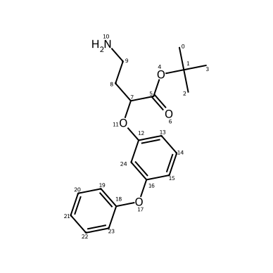 CC(C)(C)OC(=O)C(CCN)Oc1cccc(Oc2ccccc2)c1